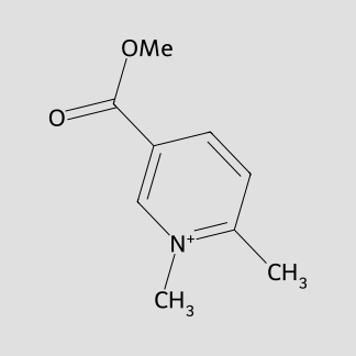 COC(=O)c1ccc(C)[n+](C)c1